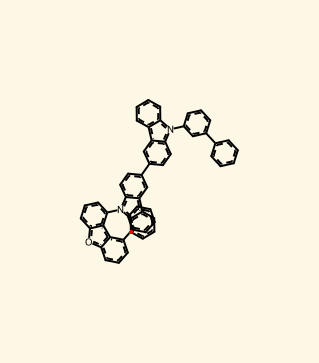 c1ccc(-c2cccc(-n3c4ccccc4c4cc(-c5ccc6c(c5)c5ccccc5n6-c5cccc6oc7cccc(-c8ccccc8)c7c56)ccc43)c2)cc1